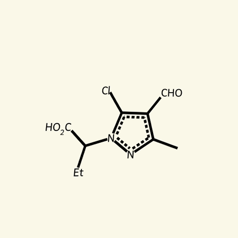 CCC(C(=O)O)n1nc(C)c(C=O)c1Cl